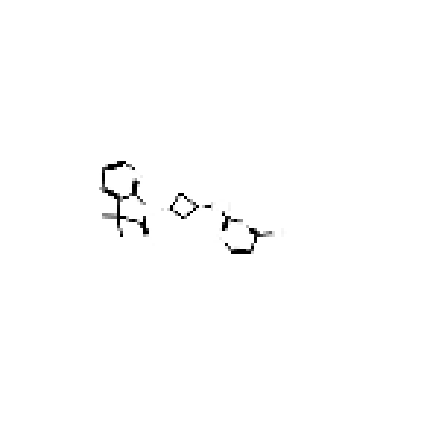 CC1(C)C(=O)N([C@H]2C[C@H](Nc3nccc(C(F)(F)F)n3)C2)c2ncccc21